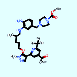 [2H]C([2H])([2H])c1cc(C(=O)OC)cc(-c2cnn(C)c2OCCCC(C)CNc2cc(CN3CCN(C(=O)OC(C)(C)C)CC3)ccc2N)n1